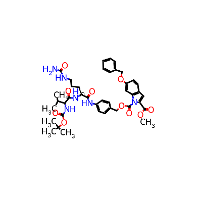 COC(=O)c1cc2ccc(OCc3ccccc3)cc2n1C(=O)OCc1ccc(NC(=O)[C@H](CCCNC(N)=O)NC(=O)C(NC(=O)OC(C)(C)C)C(C)C)cc1